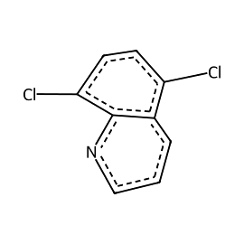 Clc1ccc(Cl)c2ncccc12